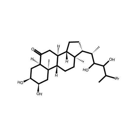 CC(C)C(C)C(O)C(O)[C@@H](C)[C@H]1CC[C@H]2[C@@H]3CC(=O)[C@@H]4C[C@H](O)[C@H](O)C[C@]4(C)[C@H]3CC[C@]12C